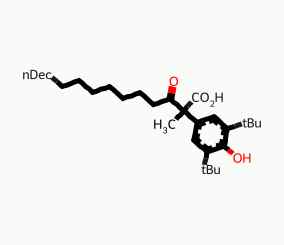 CCCCCCCCCCCCCCCCCC(=O)C(C)(C(=O)O)c1cc(C(C)(C)C)c(O)c(C(C)(C)C)c1